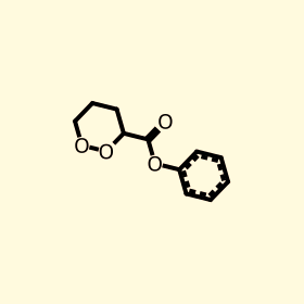 O=C(Oc1ccccc1)C1CCCOO1